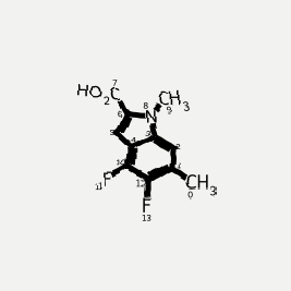 Cc1cc2c(cc(C(=O)O)n2C)c(F)c1F